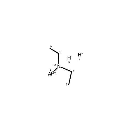 CC[N]([Al+2])CC.[H-].[H-]